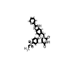 CCS(=O)(=O)c1ccc(Oc2cc3nc(-c4ccccn4)[nH]c3cc2Cn2ccc(=O)[nH]c2=O)cc1